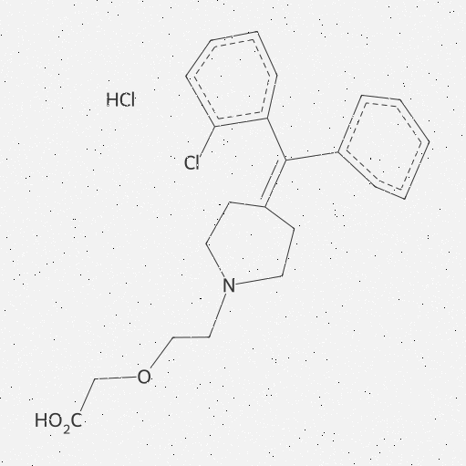 Cl.O=C(O)COCCN1CCC(=C(c2ccccc2)c2ccccc2Cl)CC1